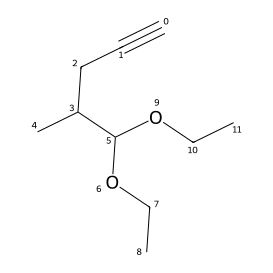 C#CCC(C)C(OCC)OCC